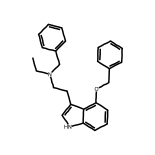 CCN(CCc1c[nH]c2cccc(OCc3ccccc3)c12)Cc1ccccc1